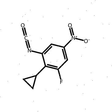 O=C=Nc1cc([N+](=O)[O-])cc(F)c1C1CC1